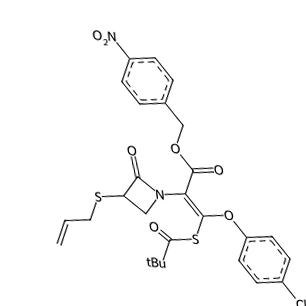 C=CCSC1CN(C(C(=O)OCc2ccc([N+](=O)[O-])cc2)=C(Oc2ccc(Cl)cc2)SC(=O)C(C)(C)C)C1=O